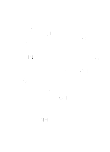 CC(=O)N[C@@H]1C(O)C[C@@](O)(C(=O)O)OC1[C@@H](O)[C@H](O)CN